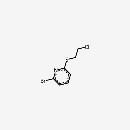 ClCCSc1cccc(Br)n1